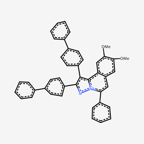 COc1cc2cc(-c3ccccc3)n3nc(-c4ccc(-c5ccccc5)cc4)c(-c4ccc(-c5ccccc5)cc4)c3c2cc1OC